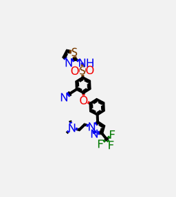 CN(C)CCn1nc(C(F)(F)F)cc1-c1cccc(Oc2ccc(S(=O)(=O)Nc3nccs3)cc2C#N)c1